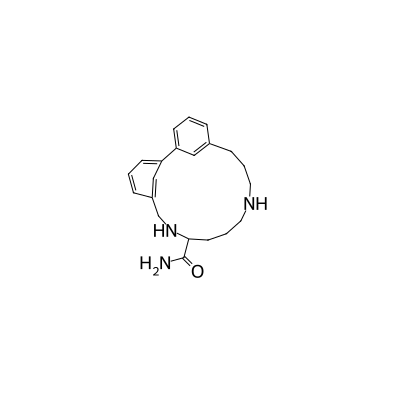 NC(=O)C1CCCNCCCc2cccc(c2)-c2cccc(c2)CN1